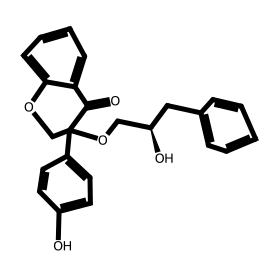 O=C1c2ccccc2OCC1(OC[C@H](O)Cc1ccccc1)c1ccc(O)cc1